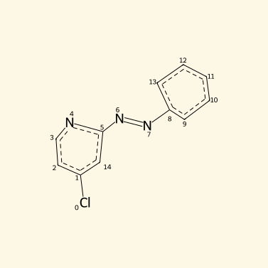 Clc1ccnc(N=Nc2ccccc2)c1